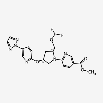 COC(=O)c1ccc(N2C[C@@H](Oc3ccc(-n4nccn4)cn3)C[C@H]2COC(F)F)nc1